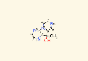 CC(O)(c1cnccn1)c1cnccn1